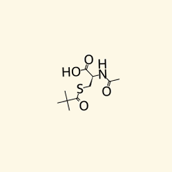 CC(=O)N[C@@H](CSC(=O)C(C)(C)C)C(=O)O